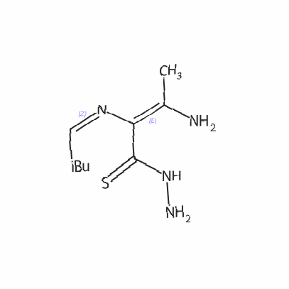 CCC(C)/C=N\C(C(=S)NN)=C(/C)N